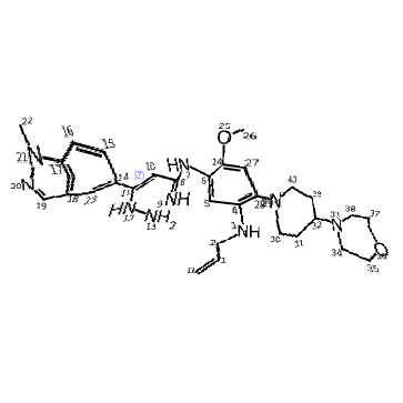 C=CCNc1cc(NC(=N)/C=C(\NN)c2ccc3c(cnn3C)c2)c(OC)cc1N1CCC(N2CCOCC2)CC1